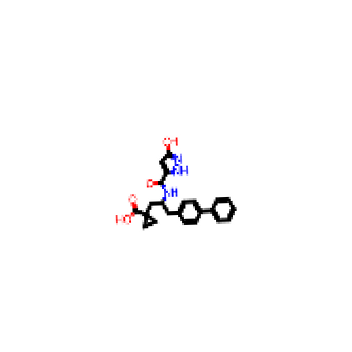 O=C(NC(Cc1ccc(-c2ccccc2)cc1)CC1(C(=O)O)CC1)c1cc(O)n[nH]1